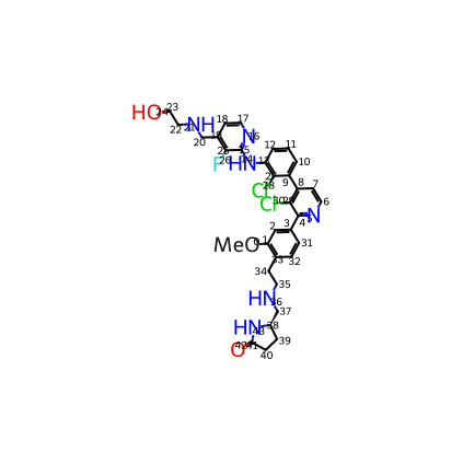 COc1cc(-c2nccc(-c3cccc(Nc4nccc(CNCCO)c4F)c3Cl)c2Cl)ccc1CCNC[C@H]1CCC(=O)N1